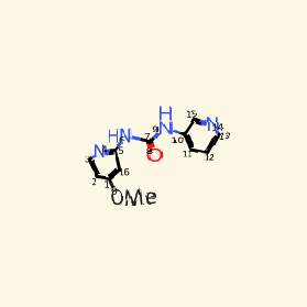 COc1ccnc(NC(=O)Nc2cccnc2)c1